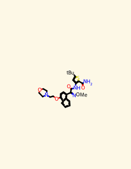 CON=C(C(=O)Nc1cc(C(C)(C)C)sc1C(N)=O)c1ccc(OCCN2CCOCC2)c2ccccc12